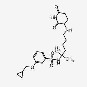 CC(C)(CCCCNC1CCC(=O)NC1=O)NS(=O)(=O)c1cccc(OCC2CC2)c1